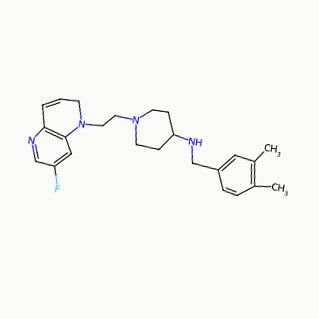 Cc1ccc(CNC2CCN(CCN3CC=Cc4ncc(F)cc43)CC2)cc1C